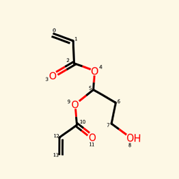 C=CC(=O)OC(CCO)OC(=O)C=C